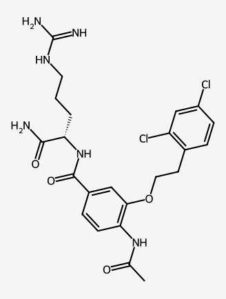 CC(=O)Nc1ccc(C(=O)N[C@@H](CCCNC(=N)N)C(N)=O)cc1OCCc1ccc(Cl)cc1Cl